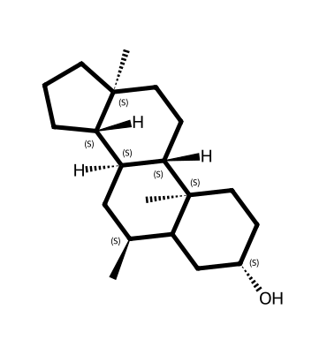 C[C@H]1C[C@H]2[C@@H]3CCC[C@@]3(C)CC[C@@H]2[C@@]2(C)CC[C@H](O)CC12